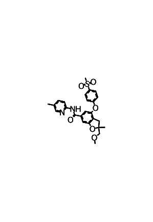 COCC1(C)Cc2c(Oc3ccc(S(C)(=O)=O)cc3)cc(C(=O)Nc3ccc(C)cn3)cc2O1